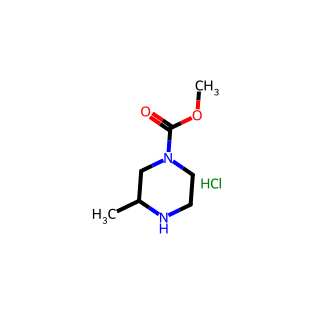 COC(=O)N1CCNC(C)C1.Cl